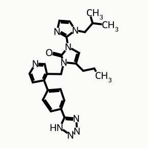 CCCc1cn(-c2nccn2CC(C)C)c(=O)n1Cc1cnccc1-c1ccc(-c2nnn[nH]2)cc1